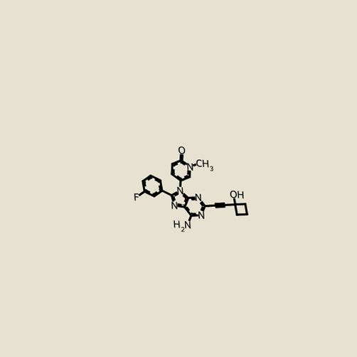 Cn1cc(-n2c(-c3cccc(F)c3)nc3c(N)nc(C#CC4(O)CCC4)nc32)ccc1=O